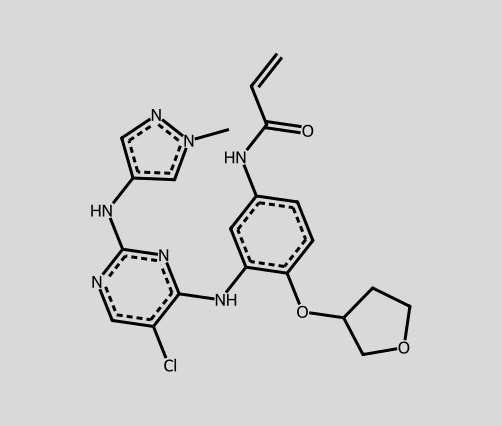 C=CC(=O)Nc1ccc(OC2CCOC2)c(Nc2nc(Nc3cnn(C)c3)ncc2Cl)c1